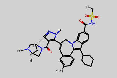 CCN1C[C@@H]2C[C@H]1CN2C(=O)c1cnn(C)c1C1=Cc2cc(OC)ccc2-c2c(C3CCCCC3)c3ccc(C(=O)NS(=O)(=O)CC(C)C)cc3n2C1